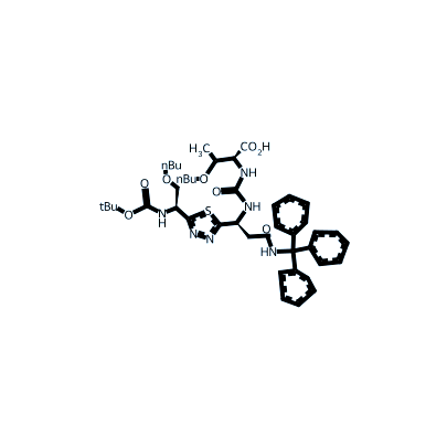 CCCCOC[C@H](NC(=O)OC(C)(C)C)c1nnc([C@H](CC(=O)NC(c2ccccc2)(c2ccccc2)c2ccccc2)NC(=O)N[C@H](C(=O)O)C(C)OCCCC)s1